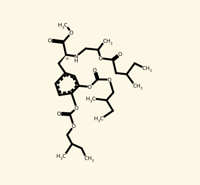 CCC(C)COC(=O)Oc1ccc(C[C@H](NCC(C)OC(=O)CC(C)CC)C(=O)OC)cc1OC(=O)OCC(C)CC